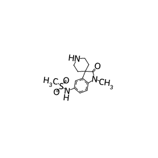 CN1C(=O)C2(CCNCC2)c2cc(NS(C)(=O)=O)ccc21